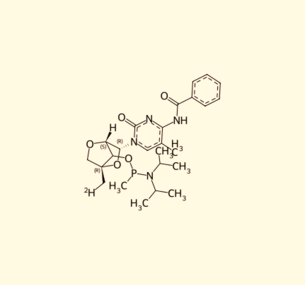 [2H]C[C@@]12CO[C@@H](C1OP(C)N(C(C)C)C(C)C)[C@H](n1cc(C)c(NC(=O)c3ccccc3)nc1=O)O2